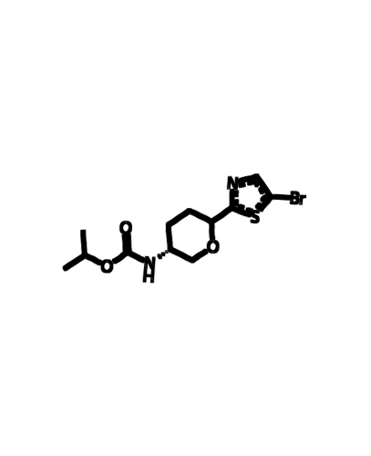 CC(C)OC(=O)N[C@@H]1CCC(c2ncc(Br)s2)OC1